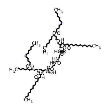 CCCCCC/C=C\CCCC(=O)O[C@H](CCCCCCC)CCOCC(COP(=O)(O)OCCNC(=O)NCCOP(=O)(O)OCC(COCC[C@@H](CCCCCCC)OC(=O)CCC/C=C\CCCCCC)NC(=O)CC(=O)CCCCCCCCCCC)NC(=O)CC(=O)CCCCCCCCCCC